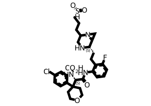 O=C(O)N[C@H](C(=O)Nc1cccc(F)c1CC[C@@H]1NCC(CCC[SH](=O)=O)N2CC12)C1(c2ccc(Cl)cc2)CCOCC1